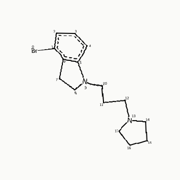 Brc1cccc2c1CCN2CCCN1CCCC1